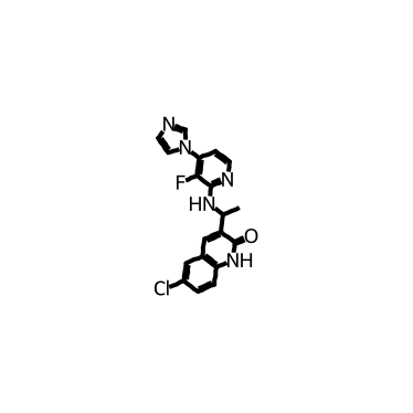 CC(Nc1nccc(-n2ccnc2)c1F)c1cc2cc(Cl)ccc2[nH]c1=O